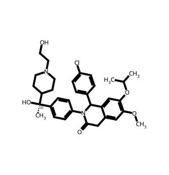 COc1cc2c(cc1OC(C)C)C(c1ccc(Cl)cc1)N(c1ccc([C@@](C)(O)C3CCN(CCO)CC3)cc1)C(=O)C2